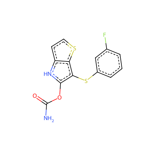 NC(=O)Oc1[nH]c2ccsc2c1Sc1cccc(F)c1